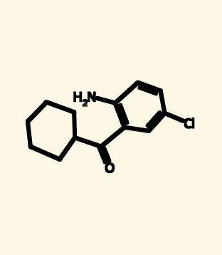 Nc1ccc(Cl)cc1C(=O)C1CCCCC1